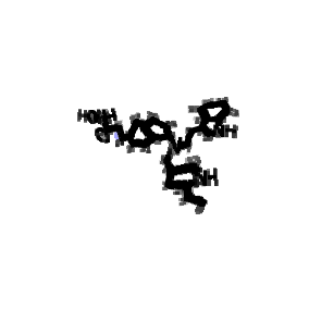 CCc1cc(CN(CCc2c[nH]c3ccccc23)C2CCc3cc(/C=C/C(=O)NO)ccc32)c[nH]1